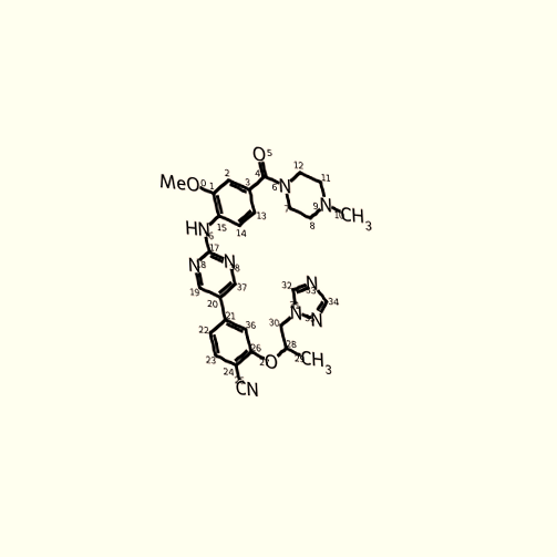 COc1cc(C(=O)N2CCN(C)CC2)ccc1Nc1ncc(-c2ccc(C#N)c(OC(C)Cn3cncn3)c2)cn1